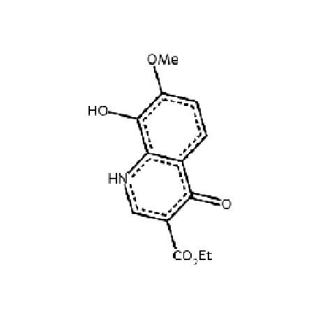 CCOC(=O)c1c[nH]c2c(O)c(OC)ccc2c1=O